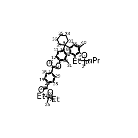 CCCC(C)(CC)Oc1ccc(C2(c3ccc(OC(=O)c4ccc(C(=O)OC(C)(CC)CC)cc4)c(C)c3)CCCCC2)cc1C